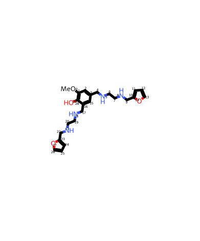 COc1cc(CNCCNCc2ccco2)cc(CNCCNCc2ccco2)c1O